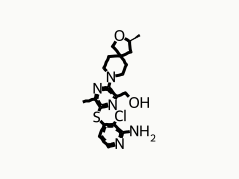 Cc1nc(N2CCC3(CC2)CO[C@@H](C)C3)c(CO)nc1Sc1ccnc(N)c1Cl